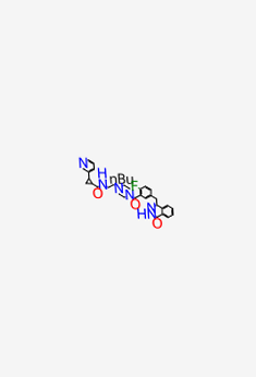 CCCCC(CNC(=O)C1CC1c1cccnc1)N1CCN(C(=O)c2cc(Cc3n[nH]c(=O)c4ccccc34)ccc2F)CC1